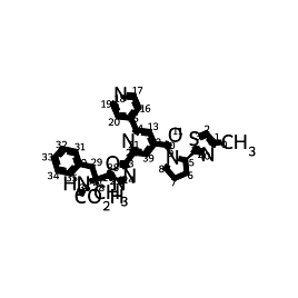 Cc1csc([C@H]2CCCN2C(=O)c2cc(-c3ccncc3)nc(-c3nnc([C@@](C)(Cc4ccccc4)NC(=O)O)o3)c2)n1